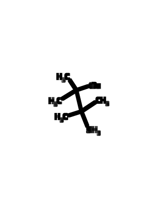 CC(C)(C)C(C)(C)C(C)(C)[SiH3]